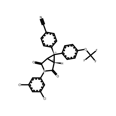 N#Cc1ccc([C@]2(c3ccc(OC(F)(F)F)cc3)C3C(=O)N(c4cc(Cl)cc(Cl)c4)C(=O)[C@H]32)cc1